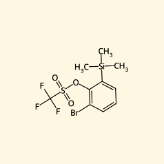 C[Si](C)(C)c1cccc(Br)c1OS(=O)(=O)C(F)(F)F